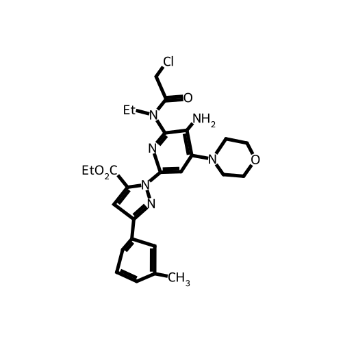 CCOC(=O)c1cc(-c2cccc(C)c2)nn1-c1cc(N2CCOCC2)c(N)c(N(CC)C(=O)CCl)n1